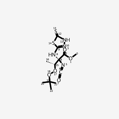 COC(=O)[C@](N=C=O)(Nc1n[nH]c(=S)s1)[C@@H](C)OOC(C)(C)C